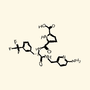 Nc1ccc(CNC(=O)[C@H](Cc2cccc(C(F)(F)F)c2)NC(=O)c2ccc(C(=O)O)[nH]2)cn1